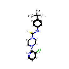 CC(C)(C)c1ccc(NC(=S)N2CCN(c3ncccc3Cl)CC2)cc1